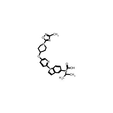 Cc1noc(N2CCC(Oc3ccc(-n4ccc5cc(N(C(=O)O)C(C)C)ccc54)nc3)CC2)n1